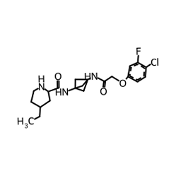 CCC1CCNC(C(=O)NC23CC(NC(=O)COc4ccc(Cl)c(F)c4)(C2)C3)C1